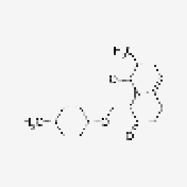 Cc1ccc2n(c1=O)C(COC1CCC(C)CC1)C(=O)CC2